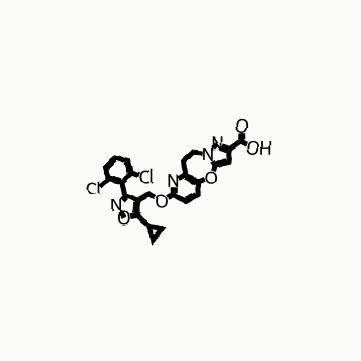 O=C(O)c1cc2n(n1)CCc1nc(OCc3c(-c4c(Cl)cccc4Cl)noc3C3CC3)ccc1O2